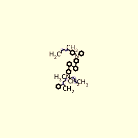 C=C/C=C\C=C(/C)c1ccc(N(c2ccccc2)c2ccc(-c3ccccc3-c3ccccc3-c3ccc(N(C(=C)/C=C\C=C/C)/C(C)=C/C=C(\C=C)c4ccccc4)cc3)cc2)cc1